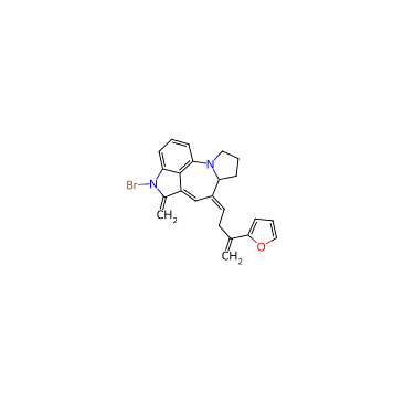 C=C(C/C=C1\C=c2c(=C)n(Br)c3cccc(c23)N2CCCC12)c1ccco1